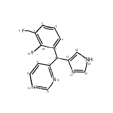 Fc1cccc(C(c2ccncn2)c2c[nH]cn2)c1F